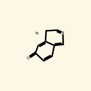 O=C1C=CC2=CN=CCC2=C1.[N]